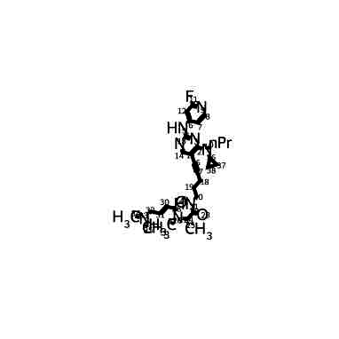 CCCN(c1nc(Nc2ccnc(F)c2)ncc1C#CCCCNC(=O)[C@H](C)N(C)C(=O)/C=C/CN(C)C)C1CC1